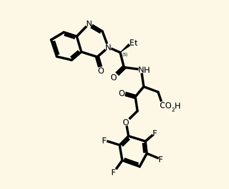 CC[C@@H](C(=O)NC(CC(=O)O)C(=O)COc1c(F)c(F)cc(F)c1F)n1cnc2ccccc2c1=O